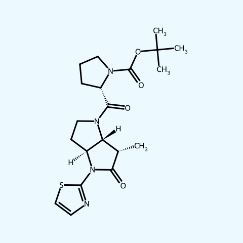 C[C@@H]1C(=O)N(c2nccs2)[C@H]2CCN(C(=O)[C@@H]3CCCN3C(=O)OC(C)(C)C)[C@H]12